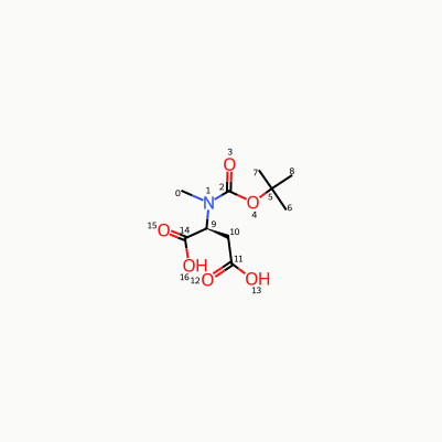 CN(C(=O)OC(C)(C)C)[C@@H](CC(=O)O)C(=O)O